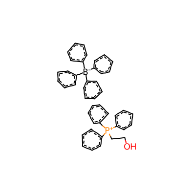 OCC[P+](c1ccccc1)(c1ccccc1)c1ccccc1.c1ccc([B-](c2ccccc2)(c2ccccc2)c2ccccc2)cc1